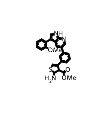 COC(=O)C1C(c2cccc(-c3cnc4[nH]cc(-c5ccccc5OC)c4c3)c2)=CSC1N